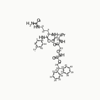 [CH2]c1ccc(NC(=O)C(CCCNC(N)=O)NC(=O)C(NC(=O)CONC(=O)OCC2c3ccccc3-c3ccccc32)C(C)C)cc1